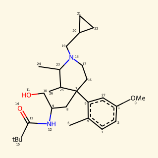 COc1ccc(C)c(C2(CC(CO)NC(=O)C(C)(C)C)CCN(CC3CC3)C(C)C2C)c1